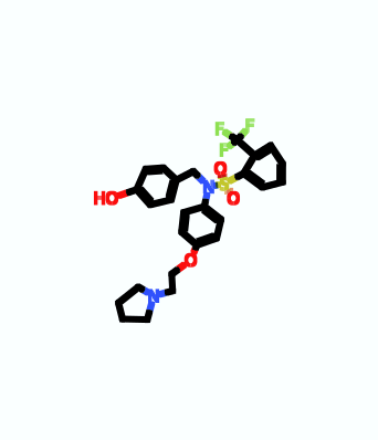 O=S(=O)(c1ccccc1C(F)(F)F)N(Cc1ccc(O)cc1)c1ccc(OCCN2CCCC2)cc1